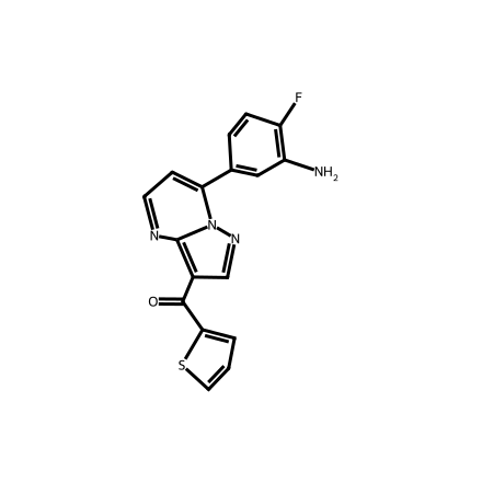 Nc1cc(-c2ccnc3c(C(=O)c4cccs4)cnn23)ccc1F